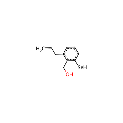 C=CCc1cccc([SeH])c1CO